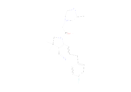 CC1CN(CC(=O)N2CC(C)(C)c3cnc(Cc4ccc(F)cc4)cc32)CCN1